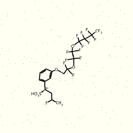 CC(F)C[C@H](c1cccc(OCC(F)(F)OC(F)(F)C(F)(F)OC(F)(F)C(F)(F)C(F)(F)C(F)(F)F)c1)S(=O)(=O)O